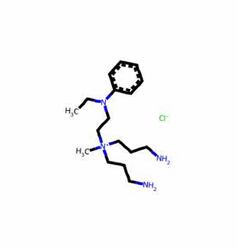 CCN(CC[N+](C)(CCCN)CCCN)c1ccccc1.[Cl-]